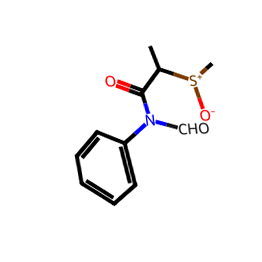 CC(C(=O)N(C=O)c1ccccc1)[S+](C)[O-]